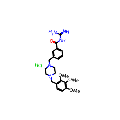 COc1ccc(CN2CCN(Cc3cccc(C(=O)NC(=N)N)c3)CC2)c(OC)c1OC.Cl